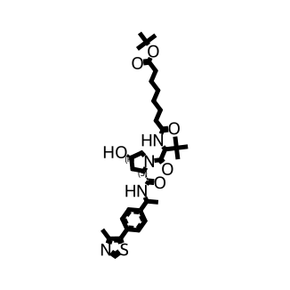 Cc1ncsc1-c1ccc(C(C)NC(=O)[C@@H]2C[C@@H](O)CN2C(=O)C(NC(=O)CCCCCCC(=O)OC(C)(C)C)C(C)(C)C)cc1